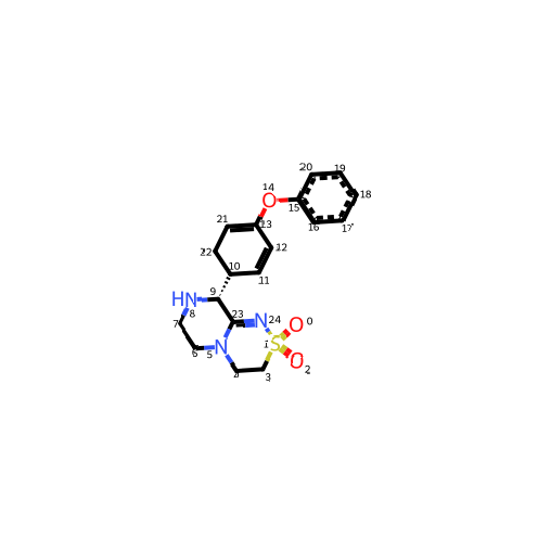 O=S1(=O)CCN2CCN[C@H](C3C=CC(Oc4ccccc4)=CC3)C2=N1